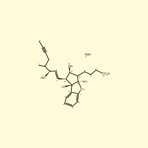 CC#CCC(C)[C@H](O)/C=C/[C@@H]1[C@H]2c3ccccc3O[C@@H]2C(CCCC(=O)O)[C@@H]1O.[NaH]